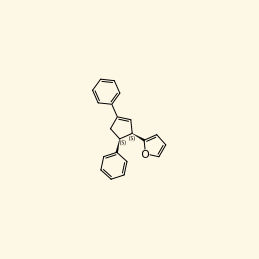 C1=C(c2ccccc2)C[C@H](c2ccccc2)[C@@H]1c1ccco1